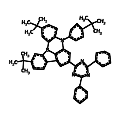 CC(C)(C)c1ccc(N2c3ccc(C(C)(C)C)cc3B3c4cc(C(C)(C)C)ccc4-c4cc(-c5nc(-c6ccccc6)nc(-c6ccccc6)n5)cc2c43)cc1